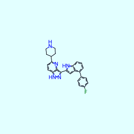 Fc1ccc(-c2cccc3[nH]c(-c4n[nH]c5ccc(C6CCNCC6)nc45)cc23)cc1